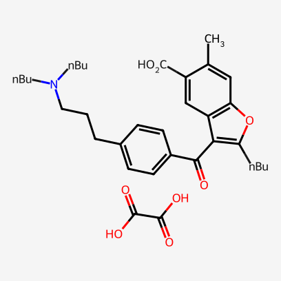 CCCCc1oc2cc(C)c(C(=O)O)cc2c1C(=O)c1ccc(CCCN(CCCC)CCCC)cc1.O=C(O)C(=O)O